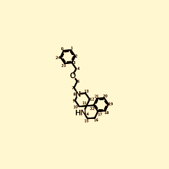 c1ccc(COCCN2CCC3(CC2)NCCc2ccccc23)cc1